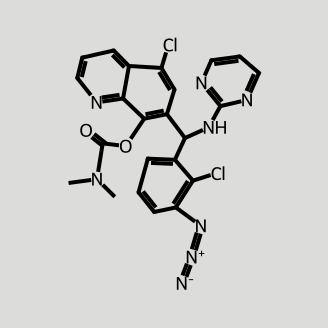 CN(C)C(=O)Oc1c(C(Nc2ncccn2)c2cccc(N=[N+]=[N-])c2Cl)cc(Cl)c2cccnc12